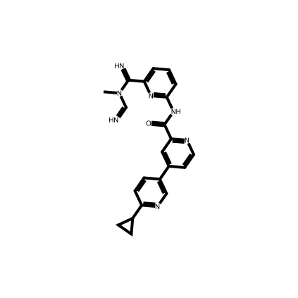 CN(C=N)C(=N)c1cccc(NC(=O)c2cc(-c3ccc(C4CC4)nc3)ccn2)n1